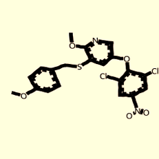 COc1ccc(CSc2cc(Oc3c(Cl)cc([N+](=O)[O-])cc3Cl)cnc2OC)cc1